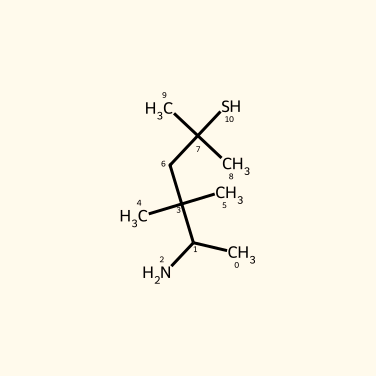 CC(N)C(C)(C)CC(C)(C)S